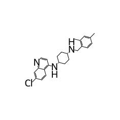 Cc1ccc(CN[C@H]2CC[C@@H](Nc3ccnc4cc(Cl)ccc34)CC2)c(C)c1